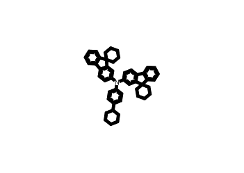 c1ccc2c(c1)-c1ccc(N(c3ccc(C4CCCCC4)cc3)c3ccc4c(c3)C3(CCCCC3)c3ccccc3-4)cc1C21CCCCC1